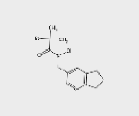 CCC(C)(C)C(=O)N(O)Cc1ccc2c(c1)CCC2